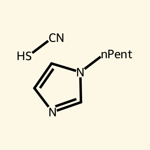 CCCCCn1ccnc1.N#CS